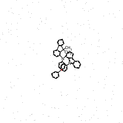 CC1(C)c2ccccc2-c2cccc(N(c3ccccc3)c3cccc4c5ccccc5n(-c5ccc(-c6ccccc6)cc5)c34)c21